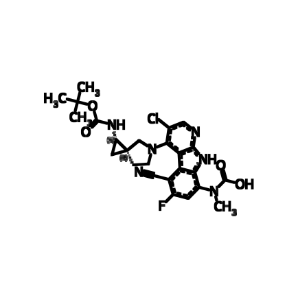 CN(C(=O)O)c1cc(F)c(C#N)c2c1[nH]c1ncc(Cl)c(N3CC[C@@]4(C[C@@H]4NC(=O)OC(C)(C)C)C3)c12